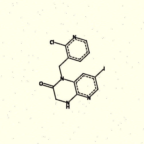 O=C1CNc2ncc(I)cc2N1Cc1cccnc1Cl